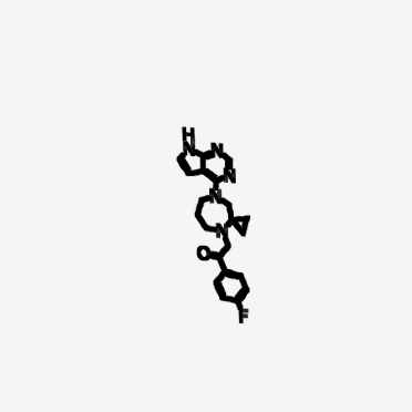 O=C(CN1CCCN(c2ncnc3[nH]ccc23)CC12CC2)c1ccc(F)cc1